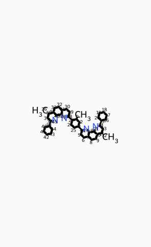 Cc1cc(-c2ccc3ccc4c(C)cc(-c5ccccc5)nc4c3n2)ccc1-c1ccc2ccc3c(C)cc(-c4ccccc4)nc3c2n1